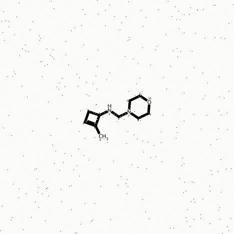 CC1=CCC1NCN1CCOCC1